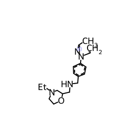 C=CN(/N=C\C)c1ccc(CNCC2CN(CC)CCO2)cc1